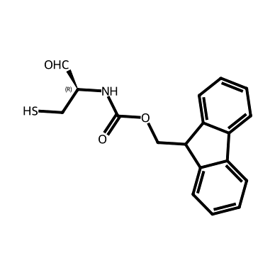 O=C[C@H](CS)NC(=O)OCC1c2ccccc2-c2ccccc21